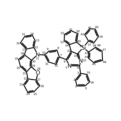 c1ccc(-c2nc(-c3ccc(-n4c5ccccc5c5ccc6c7ccccc7oc6c54)cc3)c3c(n2)[Si](c2ccccc2)(c2ccccc2)c2ccccc2-3)cc1